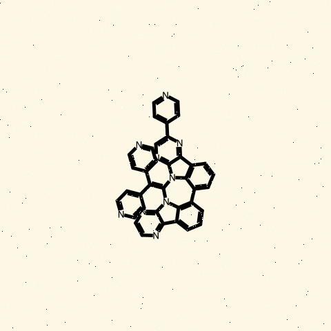 c1cc2c3cccc4c5nc(-c6ccncc6)cnc5n(c(=C(c5ccncc5)c5ccncc5)n5c6nccnc6c(c1)c25)c34